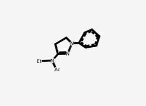 CCN(C(C)=O)C1=NN(c2ccccc2)CC1